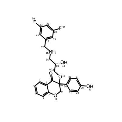 O=C1c2ccccc2OCC1(OC[C@@H](O)CNCc1cc(F)cc(F)c1)c1ccc(O)cc1